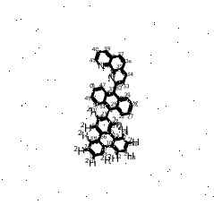 [2H]c1c([2H])c([2H])c2c(c1[2H])c1c([2H])c([2H])c([2H])c([2H])c1c1c([2H])c(-c3c4ccccc4c(-c4ccc5ccc6cccnc6c5n4)c4ccccc34)c([2H])c([2H])c21